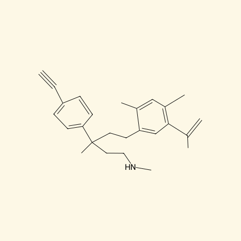 C#Cc1ccc(C(C)(CCNC)CCc2cc(C(=C)C)c(C)cc2C)cc1